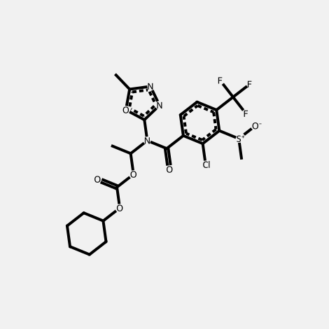 Cc1nnc(N(C(=O)c2ccc(C(F)(F)F)c([S+](C)[O-])c2Cl)C(C)OC(=O)OC2CCCCC2)o1